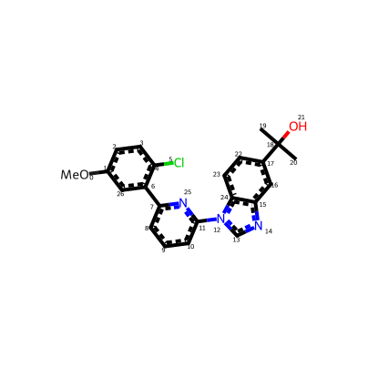 COc1ccc(Cl)c(-c2cccc(-n3cnc4cc(C(C)(C)O)ccc43)n2)c1